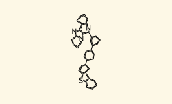 c1cc(-c2ccc(-c3ccc4sc5ccccc5c4c3)cc2)cc(-c2nc3ccccc3c3nc4ccccn4c23)c1